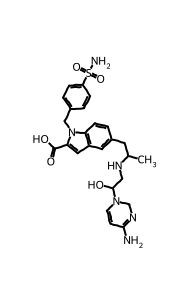 CC(Cc1ccc2c(c1)cc(C(=O)O)n2Cc1ccc(S(N)(=O)=O)cc1)NCC(O)N1C=CC(N)=NC1